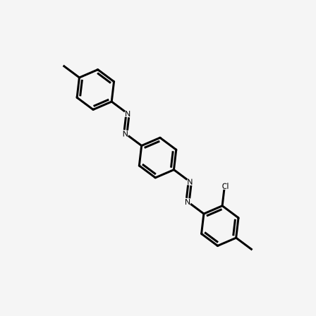 Cc1ccc(N=Nc2ccc(N=Nc3ccc(C)cc3Cl)cc2)cc1